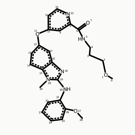 COCCCNC(=O)c1cc(Oc2ccc3c(c2)nc(Nc2ccccc2OC)n3C)ccn1